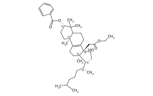 CCOC(=O)C[C@]12C3=C(CC[C@]1(C)[C@@H]([C@H](C)CCCC(C)C)CC2O)[C@@]1(C)CC[C@H](OC(=O)c2ccccc2)C(C)(C)C1CC3